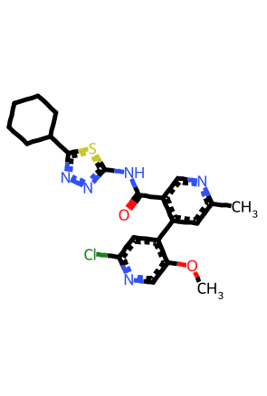 COc1cnc(Cl)cc1-c1cc(C)ncc1C(=O)Nc1nnc(C2CCCCC2)s1